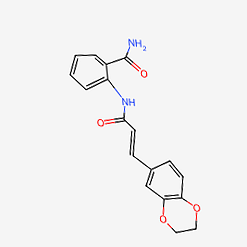 NC(=O)c1ccccc1NC(=O)/C=C/c1ccc2c(c1)OCCO2